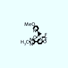 COc1ccc([C@H]2C[C@@H]2COc2nc(C)ncc2-c2ccc(=O)n(CC(F)F)c2)nc1